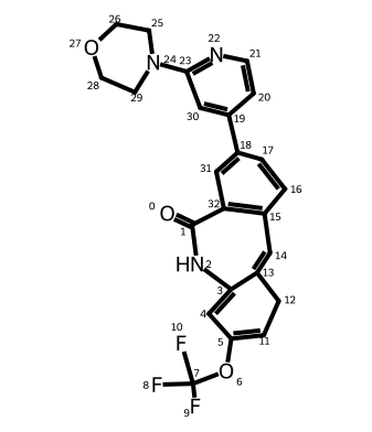 O=C1NC2=CC(OC(F)(F)F)=CCC2=Cc2ccc(-c3ccnc(N4CCOCC4)c3)cc21